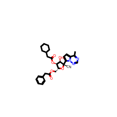 Cc1ncnn2c([C@]3(C#N)O[C@H](COC(=O)Cc4ccccc4)[C@@H](OC(=O)CC4CCCCC4)[C@H]3O)ccc12